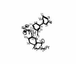 CC(C)n1cnc2c(c1=O)[C@@H](Cc1cccc(-c3cccc(F)c3)c1)[C@@H](NS(C)(=O)=O)CC2